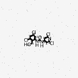 O=C(Nc1cc(Cl)nc(Cl)c1)Nc1cc(Cl)cc(Cl)c1CO